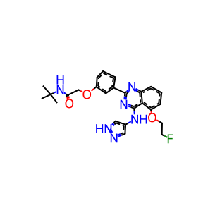 CC(C)(C)NC(=O)COc1cccc(-c2nc(Nc3cn[nH]c3)c3c(OCCF)cccc3n2)c1